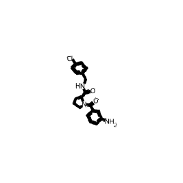 Nc1cccc(C(=O)N2CCCC2C(=O)NCc2ccc(Cl)cc2)c1